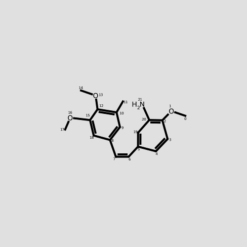 COc1ccc(/C=C\c2cc(C)c(OC)c(OC)c2)cc1N